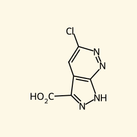 O=C(O)c1n[nH]c2nnc(Cl)cc12